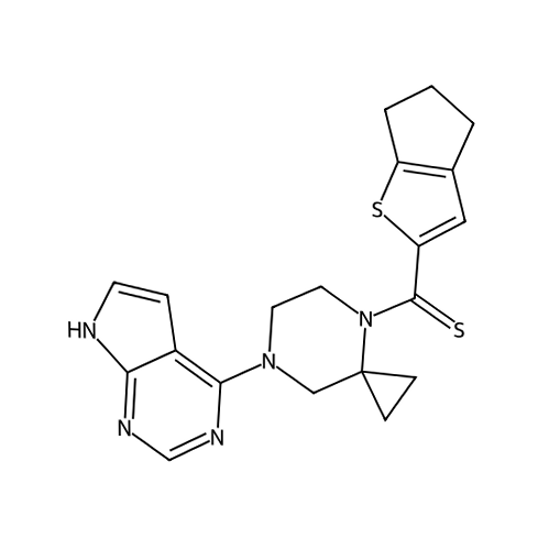 S=C(c1cc2c(s1)CCC2)N1CCN(c2ncnc3[nH]ccc23)CC12CC2